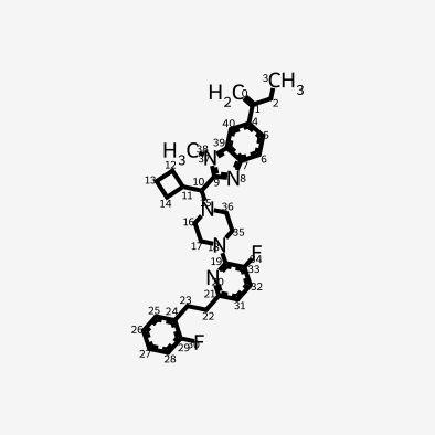 C=C(CC)c1ccc2nc(C(C3CCC3)N3CCN(c4nc(CCc5ccccc5F)ccc4F)CC3)n(C)c2c1